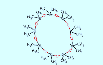 CC1(C)O[Si](C)(C)O[Si](C)(C)O[Si](C)(C)O[Si](C)(C)O[Si](C)(C)O[Si](C)(C)O[Si](C)(C)O[Si](C)(C)O1